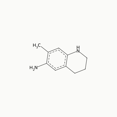 Cc1cc2c(cc1N)CCCN2